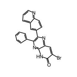 O=c1[nH]c2nc(-c3ccccc3)c(-c3ccc4ncccc4c3)nc2cc1Br